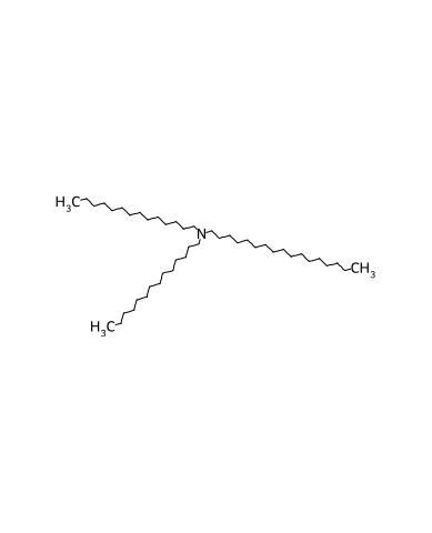 CCCCCCCCCCCCCCCCCN(CCCCCCCCCCCCCC)CCCCCCCCCCCCCC